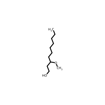 CCCCCCCC(CCO)OC